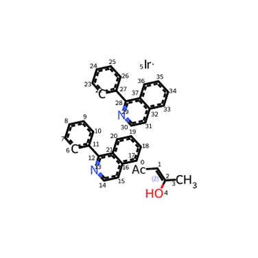 CC(=O)/C=C(/C)O.[Ir].[c-]1ccccc1-c1nccc2ccccc12.[c-]1ccccc1-c1nccc2ccccc12